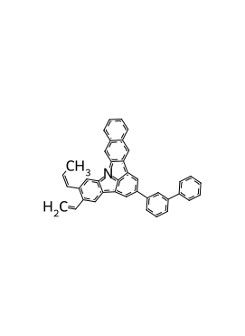 C=Cc1cc2c3cc(-c4cccc(-c5ccccc5)c4)cc4c5cc6ccccc6cc5n(c2cc1/C=C\C)c34